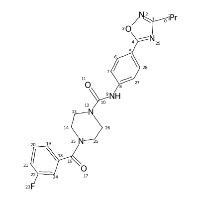 CC(C)c1noc(-c2ccc(NC(=O)N3CCN(C(=O)c4cccc(F)c4)CC3)cc2)n1